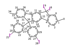 Cc1ccc2c(c1)C(I)(I)c1cc3c(cc1-2)C(c1ccc(I)cc1)(c1ccc(I)cc1)c1cc(C)ccc1-3